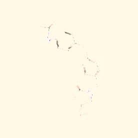 CC(=O)Nc1ccc(Oc2ccc(CN3CC(O)CC3=O)cc2)cc1